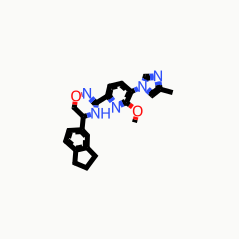 COc1nc(C2=NOCC(c3ccc4c(c3)CCC4)N2)ccc1-n1cnc(C)c1